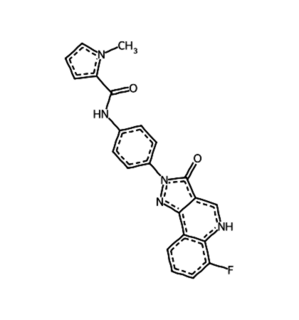 Cn1cccc1C(=O)Nc1ccc(-n2nc3c4cccc(F)c4[nH]cc-3c2=O)cc1